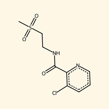 CS(=O)(=O)CCNC(=O)c1ncccc1Cl